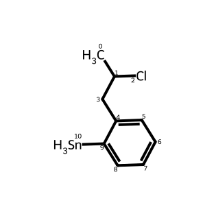 CC(Cl)Cc1cccc[c]1[SnH3]